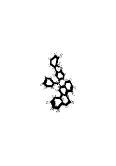 c1ccc(N(c2ccc3sc4ccccc4c3c2)c2cc3c4ccccc4ccc3c3ccccc23)cc1